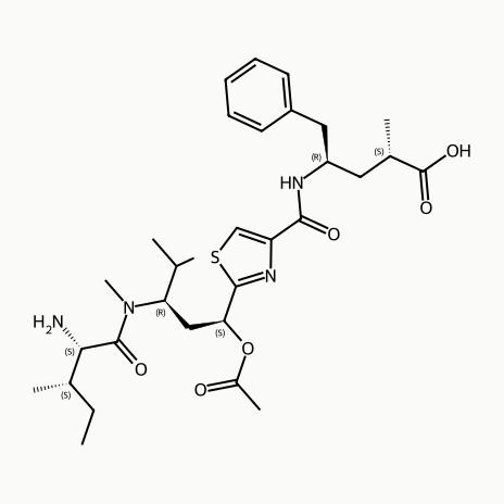 CC[C@H](C)[C@H](N)C(=O)N(C)[C@H](C[C@H](OC(C)=O)c1nc(C(=O)N[C@@H](Cc2ccccc2)C[C@H](C)C(=O)O)cs1)C(C)C